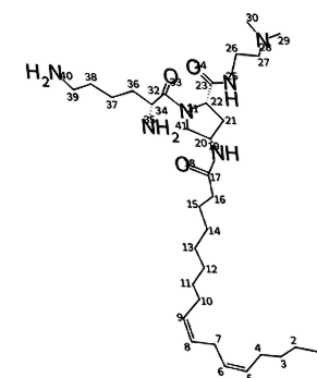 CCCCC/C=C\C/C=C\CCCCCCCC(=O)N[C@H]1C[C@@H](C(=O)NCCN(C)C)N(C(=O)[C@H](N)CCCCN)C1